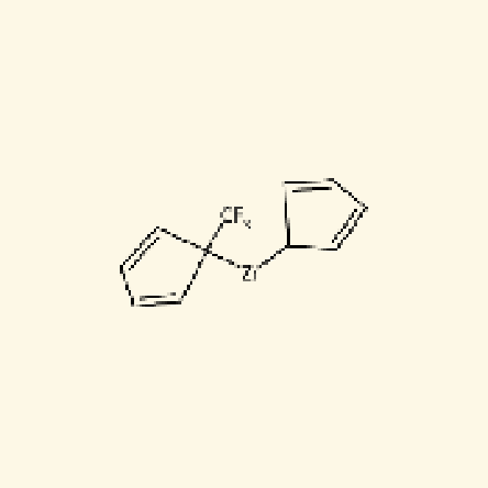 FC(F)(F)[C]1([Zr][CH]2C=CC=C2)C=CC=C1